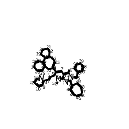 C/C=C(\C=C(C/C=C/c1ccccn1)\C1=C\CC2=C(CCC=C2)C2=C(C=CCC=C2)C1)C(/N=C(\N=C\c1ccccc1)C1=C=C/C=C\C=C=C1)=N/C